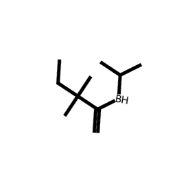 C=C(BC(C)C)C(C)(C)CC